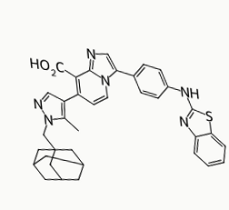 Cc1c(-c2ccn3c(-c4ccc(Nc5nc6ccccc6s5)cc4)cnc3c2C(=O)O)cnn1CC12CC3CC(CC(C3)C1)C2